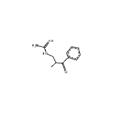 CC(CNC(=N)N)C(=O)c1ccccc1